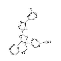 O=C1c2ccccc2OCC1(OCc1nnc(-c2cccc(F)c2)o1)c1ccc(O)cc1